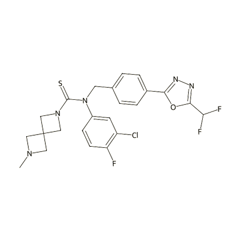 CN1CC2(C1)CN(C(=S)N(Cc1ccc(-c3nnc(C(F)F)o3)cc1)c1ccc(F)c(Cl)c1)C2